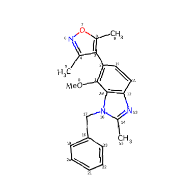 COc1c(-c2c(C)noc2C)ccc2nc(C)n(Cc3ccccc3)c12